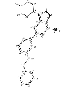 CC1CCC(n2cnc3c(N)nc(-c4cccc(OCc5ccccc5)c4)nc32)CC1